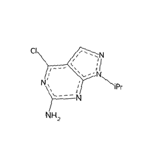 CC(C)n1ncc2c(Cl)nc(N)nc21